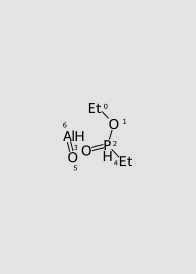 CCO[PH](=O)CC.[O]=[AlH]